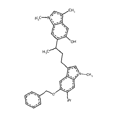 Cc1cn(C)c2cc(C(C)CCc3cn(C)c4cc(C(C)C)c(OCc5ccccc5)cc34)c(O)cc12